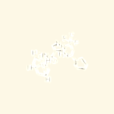 O=C(NC1[C@H]2C[C@@H]3C[C@@H](C[C@H]1C3)C2)c1cnn2c1NC(c1ccccc1)CC2C(F)(F)F